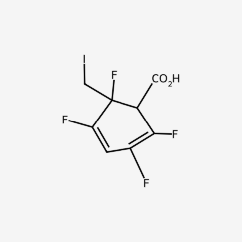 O=C(O)C1C(F)=C(F)C=C(F)C1(F)CI